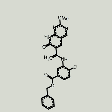 C=C(Nc1cc(C(=O)OCc2ccccc2)ccc1Cl)c1cc2cnc(OC)nc2[nH]c1=O